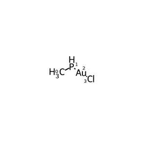 C[PH][Au][Cl]